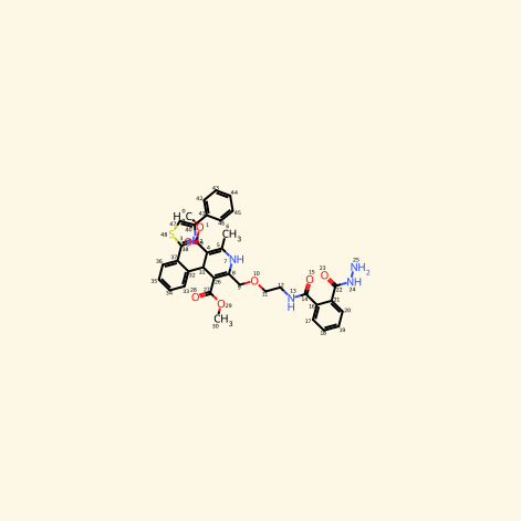 COC(=O)C1=C(C)NC(COCCNC(=O)c2ccccc2C(=O)NN)=C(C(=O)OC)C1c1ccccc1-c1nc(-c2ccccc2)cs1